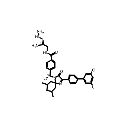 CC[C@H](c1ccc(C(=O)NC/C(N)=N/NN)cc1)N1C(=O)C(c2ccc(-c3cc(Cl)cc(Cl)c3)cc2)=NC12CC(C)CC(C)C2